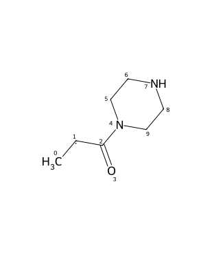 C[CH]C(=O)N1CCNCC1